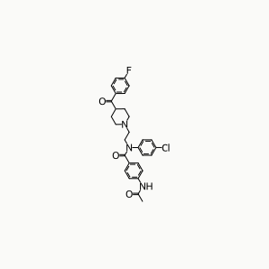 CC(=O)Nc1ccc(C(=O)N(CCN2CCC(C(=O)c3ccc(F)cc3)CC2)c2ccc(Cl)cc2)cc1